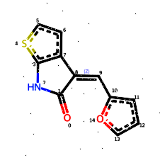 O=C1Nc2sccc2/C1=C/c1ccco1